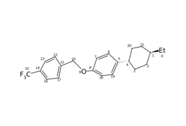 CC[C@H]1CC[C@H](c2ccc(OCc3ccc(C(F)(F)F)cc3)cc2)CC1